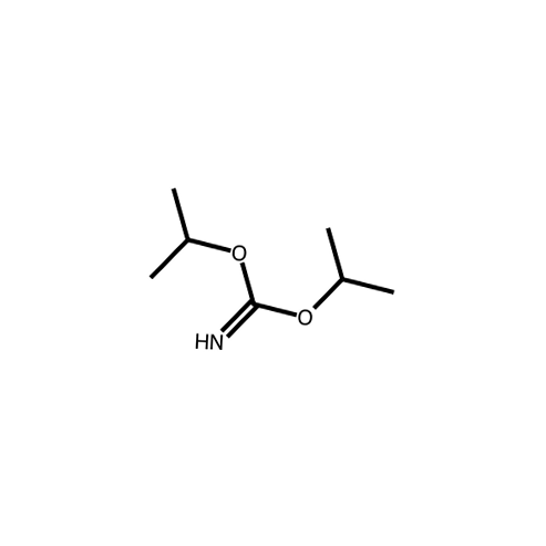 CC(C)OC(=N)OC(C)C